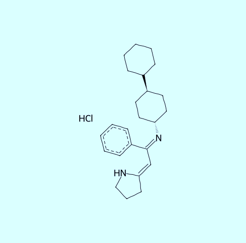 C(=C1CCCN1)C(=N[C@H]1CC[C@H](C2CCCCC2)CC1)c1ccccc1.Cl